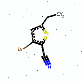 CCc1cc(Br)c(C#N)s1